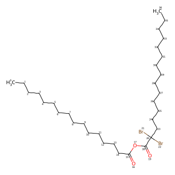 CCCCCCCCCCCCCCCC(=O)OC(=O)C(Br)(Br)CCCCCCCCCCCCCC